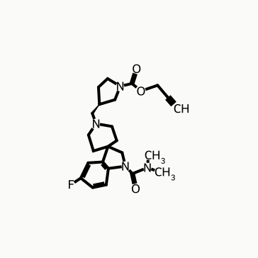 C#CCOC(=O)N1CC[C@H](CN2CCC3(CC2)CN(C(=O)N(C)C)c2ccc(F)cc23)C1